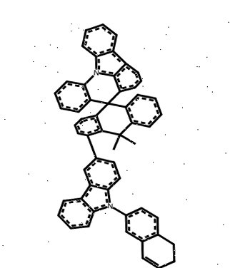 CC1(C)c2ccccc2C2(c3ccccc3-n3c4ccccc4c4cccc2c43)c2cccc(-c3ccc4c(c3)c3ccccc3n4-c3ccc4c(c3)C=CCC4)c21